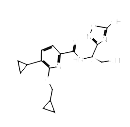 CC[C@@H](NC(=O)c1ccc(C2CC2)c(OCC2CC2)n1)c1noc(C)n1